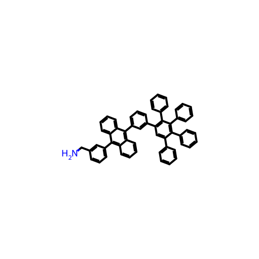 NCc1cccc(-c2c3ccccc3c(-c3cccc(-c4cc(-c5ccccc5)c(-c5ccccc5)c(-c5ccccc5)c4-c4ccccc4)c3)c3ccccc23)c1